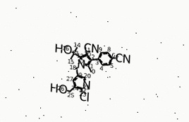 Cc1c(-c2ccc(C#N)cc2)c(C#N)c(C(C)(C)O)n1Cc1cnc(Cl)c(CO)c1